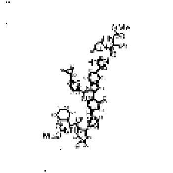 COC(=O)NC(C(=O)N1CCC[C@H]1c1ncc(-c2ccc3c(c2)cc2n3[C@H](c3cnc(C4CC4)s3)Oc3cc(-c4cnc([C@@H]5C[Si](C)(C)CN5C(=O)[C@@H](NC(=O)OC)C5CCCCC5)[nH]4)cc(F)c3-2)[nH]1)C(C)C